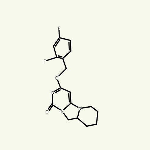 O=c1nc(OCc2ccc(F)cc2F)cc2n1CC1CCCCN21